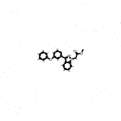 COC(=O)Cn1nc(-c2cccc(Oc3ccccc3)c2)c2ccccc21